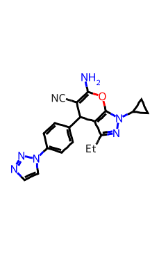 CCc1nn(C2CC2)c2c1C(c1ccc(-n3ccnn3)cc1)C(C#N)=C(N)O2